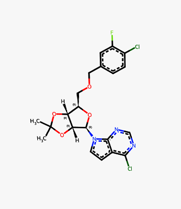 CC1(C)O[C@@H]2[C@H](O1)[C@@H](COCc1ccc(Cl)c(F)c1)O[C@H]2n1ccc2c(Cl)ncnc21